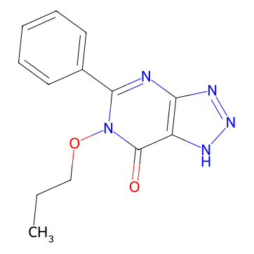 CCCOn1c(-c2ccccc2)nc2nn[nH]c2c1=O